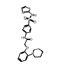 O=C(COc1ccccc1N1CCCCC1)Nc1ccc(S(=O)(=O)Nc2nccs2)cc1